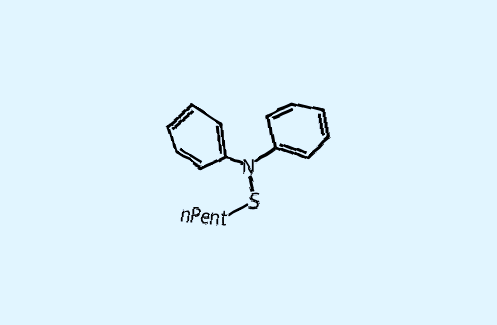 CCCCCSN(c1ccccc1)c1ccccc1